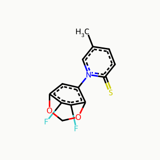 Cc1ccc(=S)n(-c2cc3c(F)c(F)c2OCO3)c1